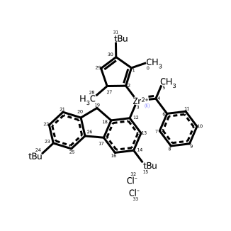 CC1=[C](/[Zr+2](=[C](\C)c2ccccc2)[c]2cc(C(C)(C)C)cc3c2Cc2ccc(C(C)(C)C)cc2-3)C(C)C=C1C(C)(C)C.[Cl-].[Cl-]